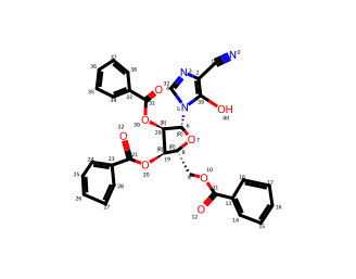 N#Cc1ncn([C@@H]2O[C@H](COC(=O)c3ccccc3)[C@@H](OC(=O)c3ccccc3)[C@H]2OC(=O)c2ccccc2)c1O